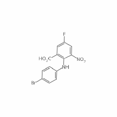 O=C(O)c1cc(F)cc([N+](=O)[O-])c1Nc1ccc(Br)cc1